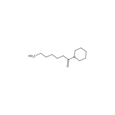 O=C(O)CCCCCC(=O)N1CCCCC1